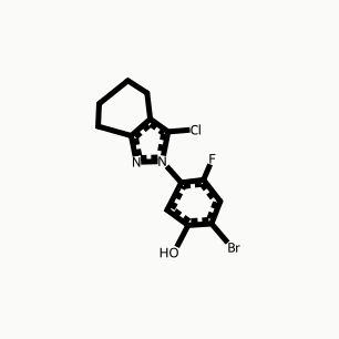 Oc1cc(-n2nc3c(c2Cl)CCCC3)c(F)cc1Br